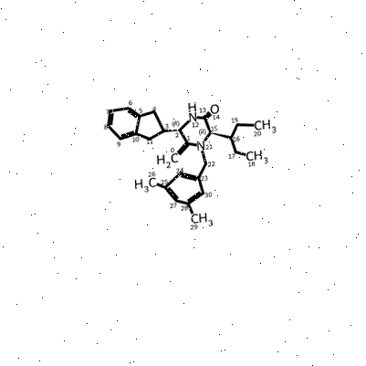 C=C1[C@@H](C2Cc3ccccc3C2)NC(=O)[C@@H](C(CC)CC)N1Cc1cc(C)cc(C)c1